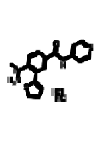 C[C@H](N)c1ccc(C(=O)Nc2ccncc2)cc1-c1cccs1.Cl.Cl